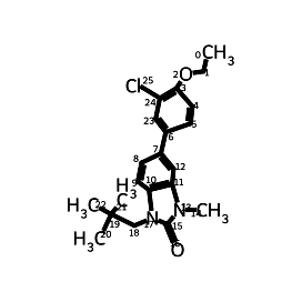 CCOc1ccc(-c2ccc3c(c2)n(C)c(=O)n3CC(C)(C)C)cc1Cl